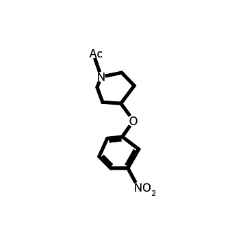 CC(=O)N1CCC(Oc2cccc([N+](=O)[O-])c2)CC1